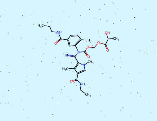 CCCNC(=O)c1ccc(C)c(N(C(=N)c2c(C)c(C(=O)NCC)cn2C)C(=O)OCOC(=O)C(C)O)c1